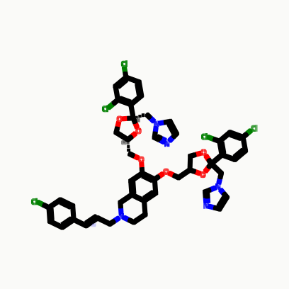 Clc1ccc(/C=C/CN2CCc3cc(OCC4COC(Cn5ccnc5)(c5ccc(Cl)cc5Cl)O4)c(OC[C@@H]4CO[C@@](Cn5ccnc5)(c5ccc(Cl)cc5Cl)O4)cc3C2)cc1